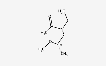 CCN(C[C@H](C)OC)C(C)=O